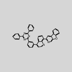 c1ccc(-c2nc(-c3ccccc3)nc(-c3cccc(-c4ccnc5c(-c6cc7c(cn6)oc6ccccc67)cccc45)c3)n2)cc1